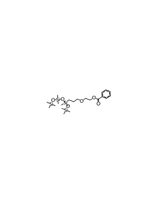 C[Si](C)(C)O[Si](C)(C)O[Si](C)(CCCOCCOC(=O)c1ccccc1)O[Si](C)(C)C